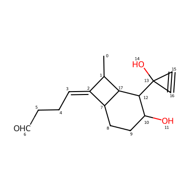 CC1/C(=C/CCC=O)C2CCC(O)C(C3(O)C#C3)C12